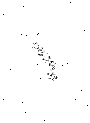 O=C(NS(=O)(=O)c1ccccc1)c1ccc(-n2ccc(OCC3C[C@H]4CC[C@@H]3C4)n2)nc1Cl